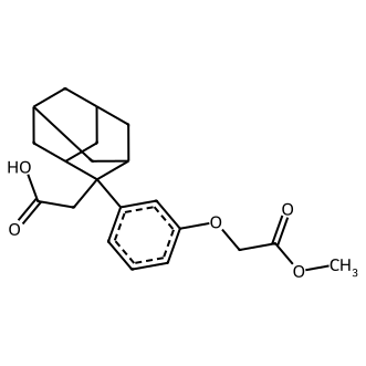 COC(=O)COc1cccc(C2(CC(=O)O)C3CC4CC(C3)CC2C4)c1